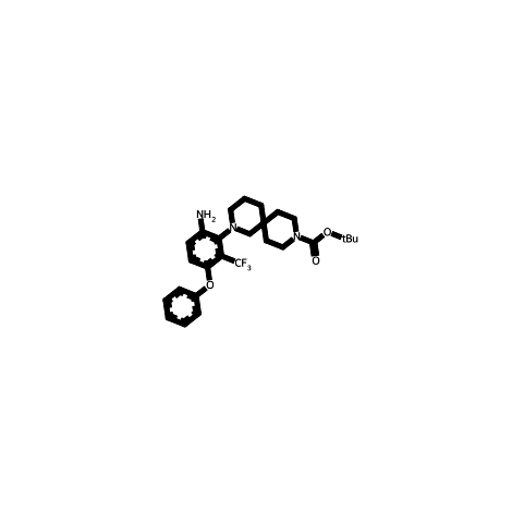 CC(C)(C)OC(=O)N1CCC2(CCCN(c3c(N)ccc(Oc4ccccc4)c3C(F)(F)F)C2)CC1